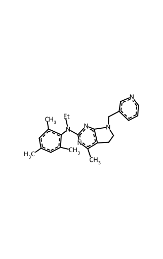 CCN(c1nc(C)c2c(n1)N(Cc1cccnc1)CC2)c1c(C)cc(C)cc1C